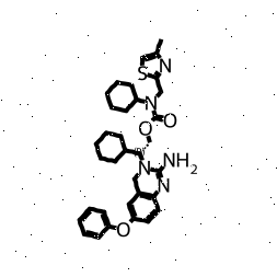 Cc1csc(CN(C(=O)OC[C@@H](C2CCCCC2)N2Cc3cc(Oc4ccccc4)ccc3N=C2N)C2CCCCC2)n1